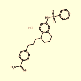 Cl.N=C(N)c1ccc(CCCN2CCCc3cc(NS(=O)(=O)c4ccccc4)ccc32)cc1